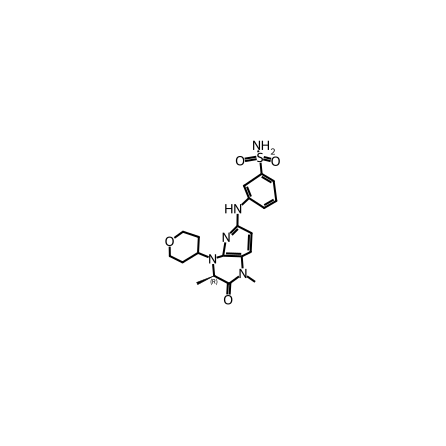 C[C@@H]1C(=O)N(C)c2ccc(Nc3cccc(S(N)(=O)=O)c3)nc2N1C1CCOCC1